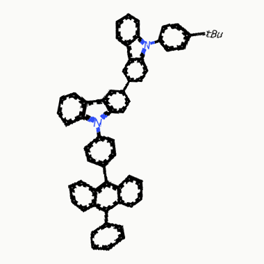 CC(C)(C)c1ccc(-n2c3ccccc3c3cc(-c4ccc5c(c4)c4ccccc4n5-c4ccc(-c5c6ccccc6c(-c6ccccc6)c6ccccc56)cc4)ccc32)cc1